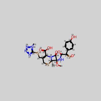 CO[C@@]1(NC(=O)C(=S=O)c2ccc(O)cc2)C(=O)N2C(C(=O)O)=C(CSc3nnnn3C)CS[C@@H]21